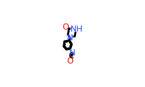 O=C=Nc1cccc(N2CCNC(=O)C2)c1